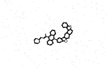 C/C(=C\C=C1\C=CC=CC1)c1c2ccccc2c(-c2ccc3oc4cc5ccc6sc7ccccc7c6c5cc4c3c2)c2ccccc12